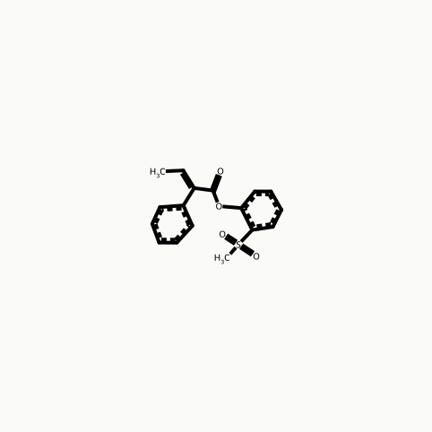 CC=C(C(=O)Oc1ccccc1S(C)(=O)=O)c1ccccc1